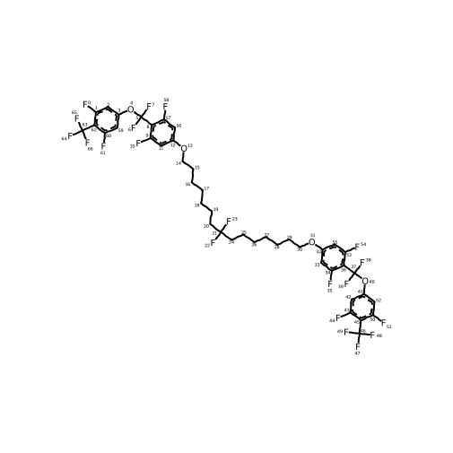 Fc1cc(OC(F)(F)c2c(F)cc(OCCCCCCCC(F)(F)CCCCCCCOc3cc(F)c(C(F)(F)Oc4cc(F)c(C(F)(F)F)c(F)c4)c(F)c3)cc2F)cc(F)c1C(F)(F)F